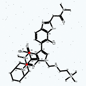 CN(C)C(=O)Cc1nc2ccc(-c3cn(COCC[Si](C)(C)C)c4nc(N5C6CCCC5CN(C(=O)OC(C)(C)C)C6)n(C)c(=O)c34)c(Cl)c2s1